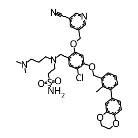 Cc1c(COc2cc(OCc3cncc(C#N)c3)c(CN(CCCN(C)C)CCS(N)(=O)=O)cc2Cl)cccc1-c1ccc2c(c1)OCCO2